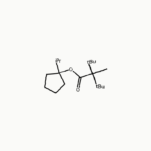 CC(C)C1(OC(=O)C(C)(C(C)(C)C)C(C)(C)C)CCCC1